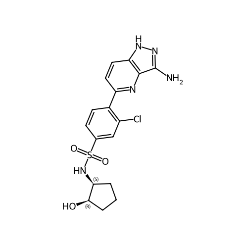 Nc1n[nH]c2ccc(-c3ccc(S(=O)(=O)N[C@H]4CCC[C@H]4O)cc3Cl)nc12